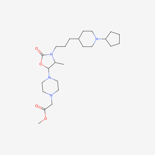 COC(=O)CN1CCN(C2OC(=O)N(CCCC3CCN(C4CCCC4)CC3)C2C)CC1